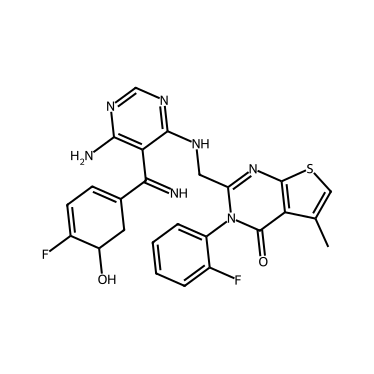 Cc1csc2nc(CNc3ncnc(N)c3C(=N)C3=CC=C(F)C(O)C3)n(-c3ccccc3F)c(=O)c12